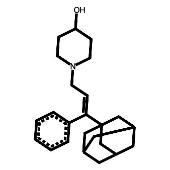 OC1CCN(C/C=C(\c2ccccc2)C23CC4CC(CC(C4)C2)C3)CC1